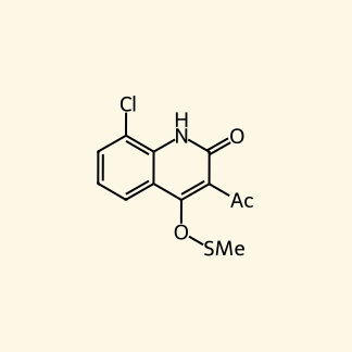 CSOc1c(C(C)=O)c(=O)[nH]c2c(Cl)cccc12